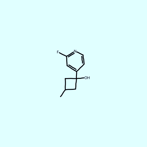 CC1CC(O)(c2ccnc(F)c2)C1